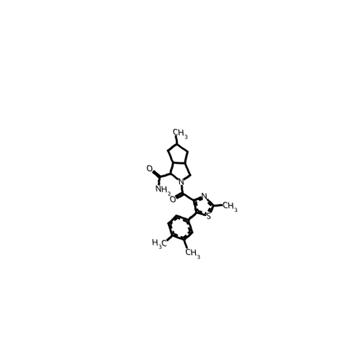 Cc1nc(C(=O)N2CC3CC(C)CC3C2C(N)=O)c(-c2ccc(C)c(C)c2)s1